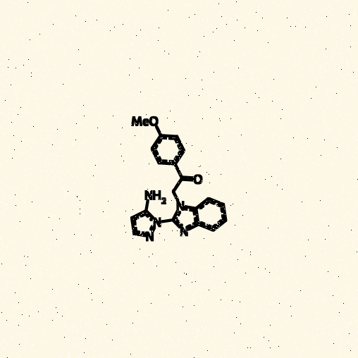 COc1ccc(C(=O)Cn2c(-n3nccc3N)nc3ccccc32)cc1